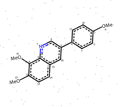 COc1ccc(-c2cnc3c(OC)c(OC)ccc3c2)cc1